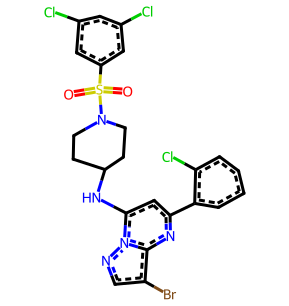 O=S(=O)(c1cc(Cl)cc(Cl)c1)N1CCC(Nc2cc(-c3ccccc3Cl)nc3c(Br)cnn23)CC1